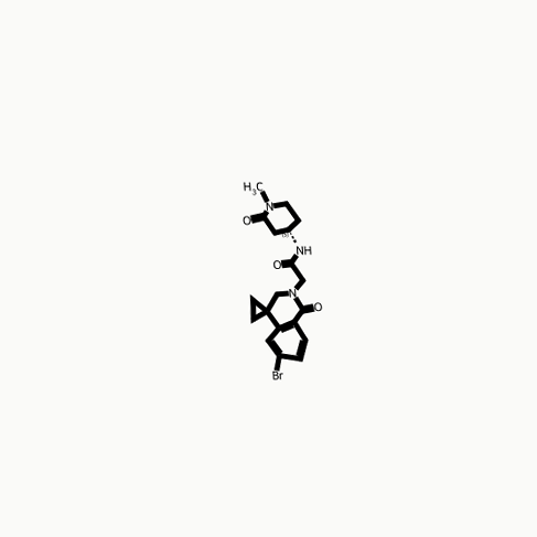 CN1CC[C@H](NC(=O)CN2CC3(CC3)c3cc(Br)ccc3C2=O)CC1=O